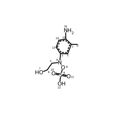 Cc1cc(N(CCO)OS(=O)(=O)O)ccc1N